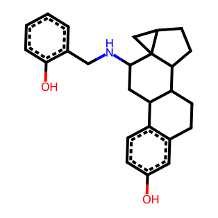 Oc1ccc2c(c1)CCC1C2CC(NCc2ccccc2O)C23CC2CCC13